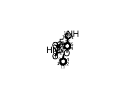 O=C1CN(c2c(OCc3ccccc3)ccc(C3=CCNC3)c2F)S(=O)(=O)N1